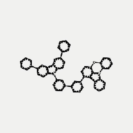 c1ccc(-c2ccc3c(c2)c2cc(-c4ccccc4)ccc2n3-c2cccc(-c3cccc(-c4ccc5c6c4c4ccccc4n6-c4ccccc4O5)c3)c2)cc1